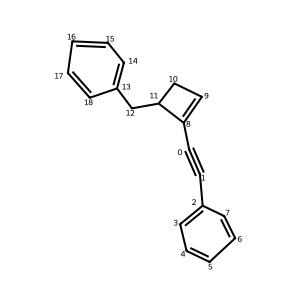 C(#Cc1ccccc1)C1=CCC1Cc1ccccc1